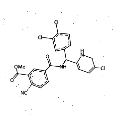 COC(=O)c1cc(C(=O)NC(C2=CC=C(Cl)CN2)c2ccc(Cl)c(Cl)c2)ccc1C#N